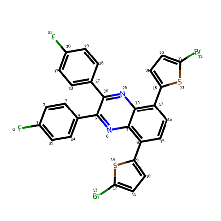 Fc1ccc(-c2nc3c(-c4ccc(Br)s4)ccc(-c4ccc(Br)s4)c3nc2-c2ccc(F)cc2)cc1